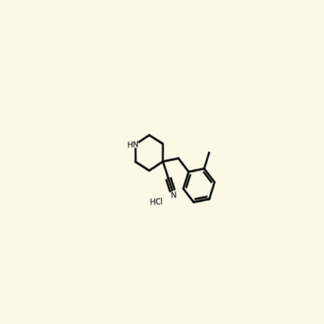 Cc1ccccc1CC1(C#N)CCNCC1.Cl